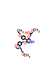 CCCOc1ccc(C2[C@@H](OCc3ccc4c(c3)N(CCCOC)CCO4)CNC[C@H]2OC[C@H](O)COC)cc1